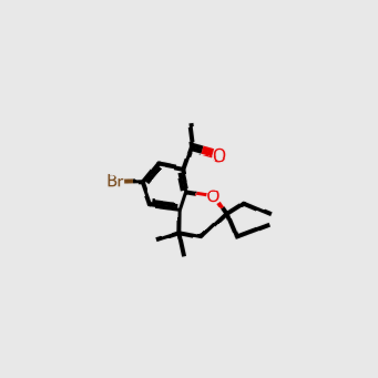 CCC1(CC)CC(C)(C)c2cc(Br)cc(C(C)=O)c2O1